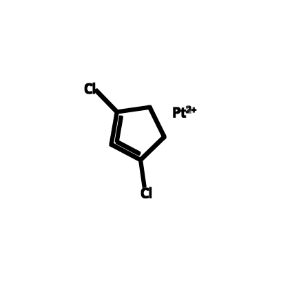 ClC1=C=C(Cl)CC1.[Pt+2]